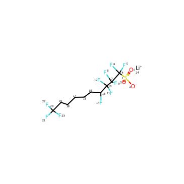 O=S(=O)([O-])C(F)(F)C(F)(F)C(F)(F)C(F)CCCCCC(F)(F)F.[Li+]